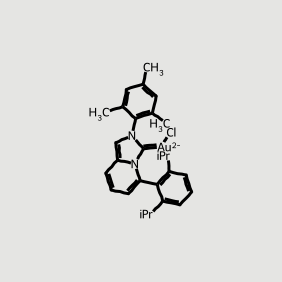 Cc1cc(C)c(-n2cc3cccc(-c4c(C(C)C)cccc4C(C)C)n3[c]2=[Au-2][Cl])c(C)c1